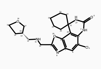 O=C1Nc2c(Cl)cc3nc(CNC[C@@H]4CCOC4)oc3c2C2(CCCCC2)N1